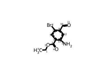 CCOC(=O)c1cc(Br)c(C=O)cc1N